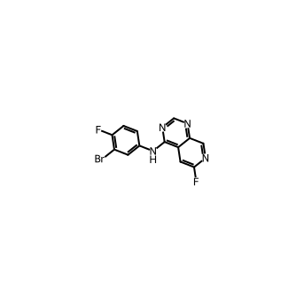 Fc1cc2c(Nc3ccc(F)c(Br)c3)ncnc2cn1